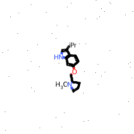 CC(C)c1c[nH]c2cc(OCC3CCCN3C)ccc12